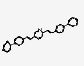 C(=Cc1ccc(C=Cc2ccc(-c3ccccc3)cc2)nc1)c1ccc(-c2ccccc2)cc1